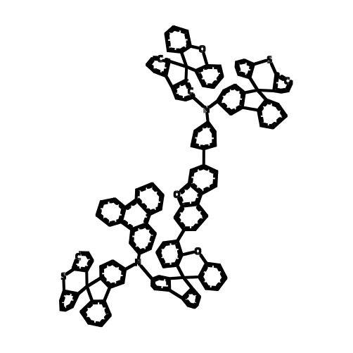 c1ccc2c(c1)Oc1ccccc1C21c2ccccc2-c2ccc(N(c3ccc(-c4ccc5c(c4)oc4cc(-c6cccc7c6Oc6ccccc6C76c7ccccc7-c7ccc(N(c8ccc9c(c8)-c8ccccc8C98c9ccccc9Sc9ccccc98)c8ccc9c%10ccccc%10c%10ccccc%10c9c8)cc76)ccc45)cc3)c3ccc4c(c3)-c3ccccc3C43c4ccccc4Sc4ccccc43)cc21